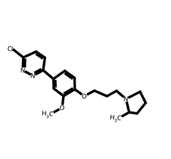 COc1cc(-c2ccc(Cl)nn2)ccc1OCCCN1CCCC1C